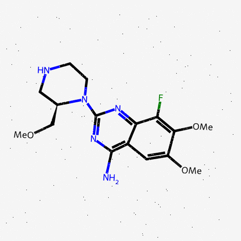 COC[C@H]1CNCCN1c1nc(N)c2cc(OC)c(OC)c(F)c2n1